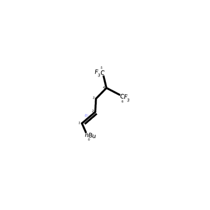 CCCC/C=C/CC(C(F)(F)F)C(F)(F)F